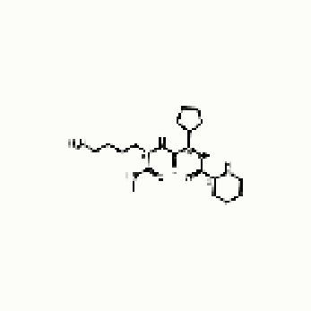 CNC(=O)[C@@H](CCCCN)NC(=O)[C@H](NC(=O)[C@@H]1CCCCN1)C1CCCC1